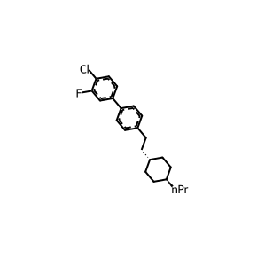 CCC[C@H]1CC[C@H](CCc2ccc(-c3ccc(Cl)c(F)c3)cc2)CC1